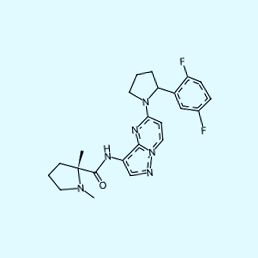 CN1CCC[C@]1(C)C(=O)Nc1cnn2ccc(N3CCCC3c3cc(F)ccc3F)nc12